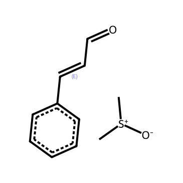 C[S+](C)[O-].O=C/C=C/c1ccccc1